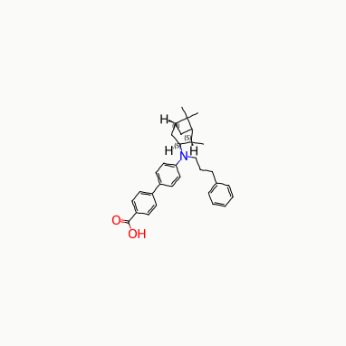 C[C@H]1C2C[C@H](C[C@@H]1N(CCCc1ccccc1)c1ccc(-c3ccc(C(=O)O)cc3)cc1)C2(C)C